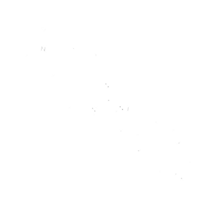 O=[N+]([O-])c1ccc2nc(NCc3ccc4c(c3)OOC4)ncc2c1